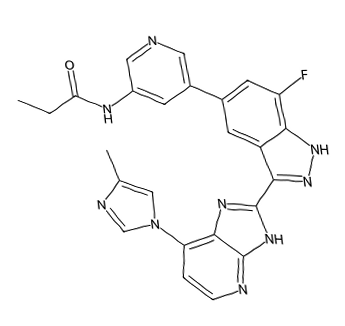 CCC(=O)Nc1cncc(-c2cc(F)c3[nH]nc(-c4nc5c(-n6cnc(C)c6)ccnc5[nH]4)c3c2)c1